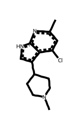 Cc1cc(Cl)c2c(C3CCN(C)CC3)c[nH]c2n1